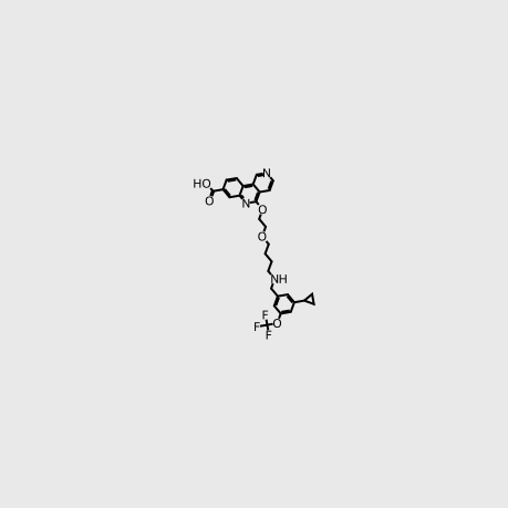 O=C(O)c1ccc2c(c1)nc(OCCOCCCCNCc1cc(OC(F)(F)F)cc(C3CC3)c1)c1ccncc12